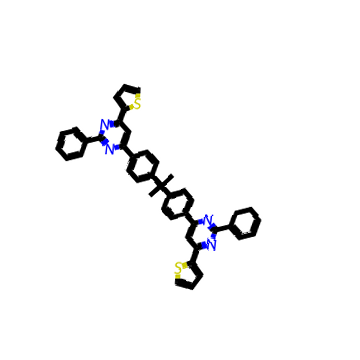 CC(C)(c1ccc(-c2cc(-c3cccs3)nc(C3=CC=CCC3)n2)cc1)c1ccc(-c2cc(-c3cccs3)nc(-c3ccccc3)n2)cc1